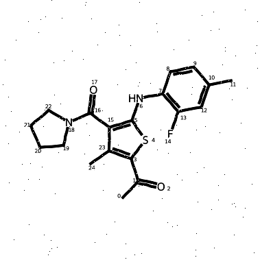 CC(=O)c1sc(Nc2ccc(C)cc2F)c(C(=O)N2CCCC2)c1C